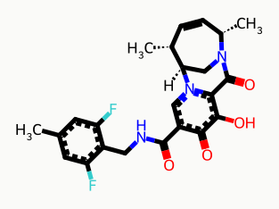 Cc1cc(F)c(CNC(=O)c2cn3c(c(O)c2=O)C(=O)N2C[C@@H]3[C@H](C)C=C[C@@H]2C)c(F)c1